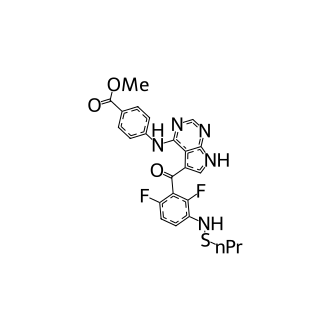 CCCSNc1ccc(F)c(C(=O)c2c[nH]c3ncnc(Nc4ccc(C(=O)OC)cc4)c23)c1F